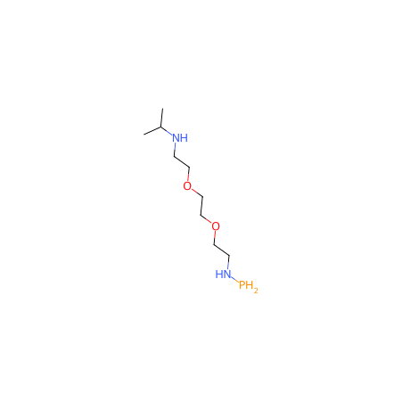 CC(C)NCCOCCOCCNP